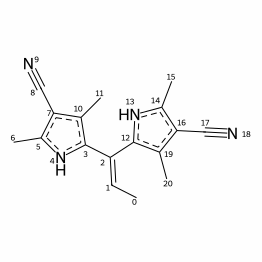 CC=C(c1[nH]c(C)c(C#N)c1C)c1[nH]c(C)c(C#N)c1C